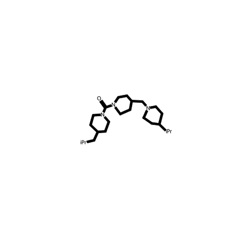 CC(C)CC1CCN(C(=O)N2CCC(CN3CCC(C(C)C)CC3)CC2)CC1